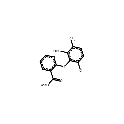 COC(=O)c1cccnc1Sc1c(Cl)ccc(C(F)(F)F)c1C=O